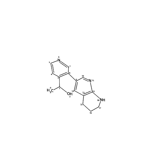 CC(O)c1ccncc1-c1cnc2c(c1)CCCN2